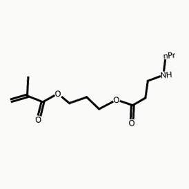 C=C(C)C(=O)OCCCOC(=O)CCNCCC